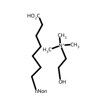 CCCCCCCCCCCCCCCC(=O)O.C[N+](C)(C)CCO